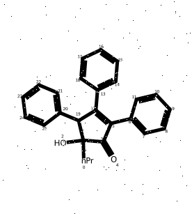 CCCC1(O)C(=O)C(c2ccccc2)=C(c2ccccc2)C1c1ccccc1